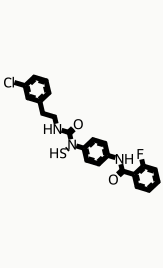 O=C(Nc1ccc(N(S)C(=O)NCCc2cccc(Cl)c2)cc1)c1ccccc1F